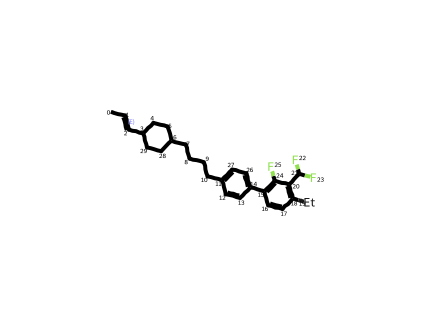 C/C=C/C1CCC(CCCCc2ccc(-c3ccc(CC)c(C(F)F)c3F)cc2)CC1